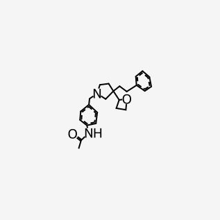 CC(=O)Nc1ccc(CN2CCC(CCc3ccccc3)(C3CCO3)C2)cc1